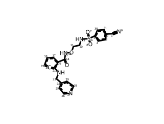 N#Cc1ccc(S(=O)(=O)NCCONC(=O)c2ccccc2NCc2ccncc2)cc1